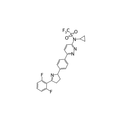 O=S(=O)(N(c1ccc(-c2ccc(C3CCC(c4c(F)cccc4F)=N3)cc2)nn1)C1CC1)C(F)(F)F